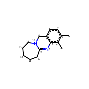 Cc1ccc2c(c1C)N=C1CCCCCN1C2